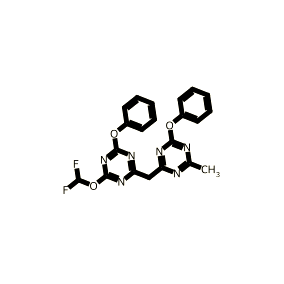 Cc1nc(Cc2nc(Oc3ccccc3)nc(OC(F)F)n2)nc(Oc2ccccc2)n1